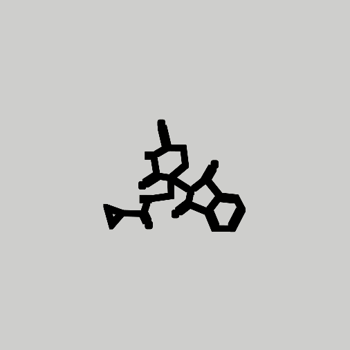 O=C1CCC(CNC(=O)C2CC2)(N2C(=O)c3ccccc3C2=O)C(=O)N1